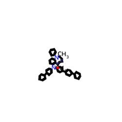 C/C1=C\C=C/C(C)N(c2ccccc2)c2cccc(N(c3ccc(-c4ccccc4)cc3)c3ccc(-c4ccc(-c5ccccc5)cc4)cc3)c21